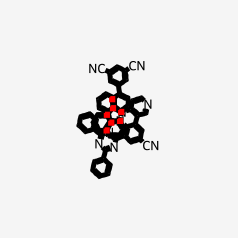 N#Cc1cc(C#N)cc(-c2ccc3c(c2)c2ccccc2n3-c2c(-c3nc(-c4ccccc4)nc(-c4ccccc4)n3)cc(C#N)cc2-c2cnccc2-n2c3ccccc3c3ccccc32)c1